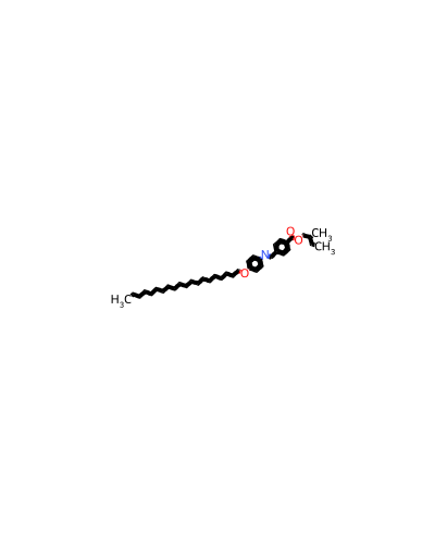 CCCCCCCCCCCCCCCCCCCCOc1ccc(N=Cc2ccc(C(=O)OCC(C)CC)cc2)cc1